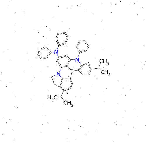 CC(C)c1ccc2c(c1)N(c1ccccc1)c1cc(N(c3ccccc3)c3ccccc3)cc3c1B2c1ccc(C(C)C)c2c1N3CC2